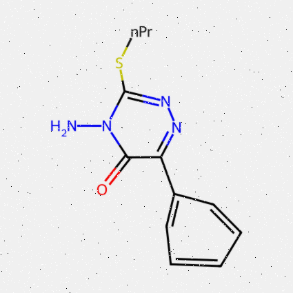 CCCSc1nnc(-c2ccccc2)c(=O)n1N